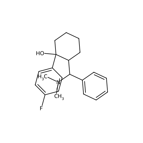 CN(C)C(c1ccccc1)C1CCCCC1(O)c1ccc(F)cc1